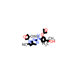 CO[C@H]1COC[C@H]1n1c(C#N)cc2cnc(Nc3ccc(C(C)(C)O)cc3OC3COC3)nc21